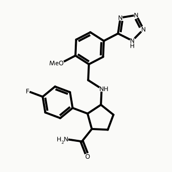 COc1ccc(-c2nnn[nH]2)cc1CNC1CCC(C(N)=O)C1c1ccc(F)cc1